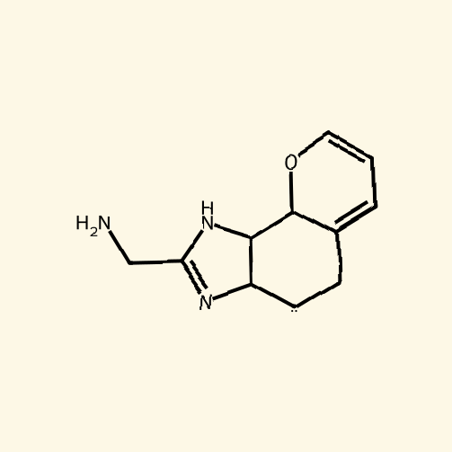 NCC1=NC2[C]CC3=CC=COC3C2N1